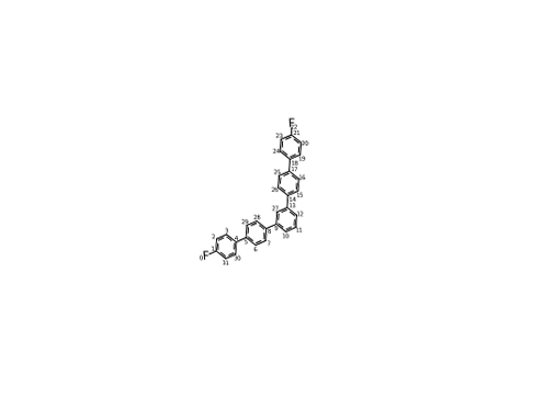 Fc1ccc(-c2ccc(-c3cccc(-c4ccc(-c5ccc(F)cc5)cc4)c3)cc2)cc1